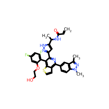 C=CC(=O)NC(C)c1cc(-c2nc(-c3ccc4c(c3)c(C)nn4C)c3ccsc3c2-c2c(F)cc(F)cc2OCCO)n[nH]1